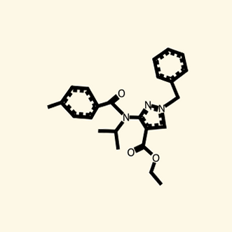 CCOC(=O)c1cn(Cc2ccccc2)nc1N(C(=O)c1ccc(C)cc1)C(C)C